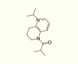 CC(C)C(=O)N1CCCc2c1ccc[n+]2C(C)C